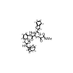 CNC(=O)C(=O)CC[C@H](NC(=O)c1cc2ccccc2s1)C(=O)Nc1cccn(CC(=O)NC2C3CC4CC(C3)CC2C4)c1=O